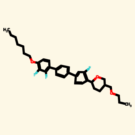 CCCCCCCOc1ccc(-c2ccc(-c3ccc(C4CCC(COCCC)CO4)c(F)c3)cc2)c(F)c1F